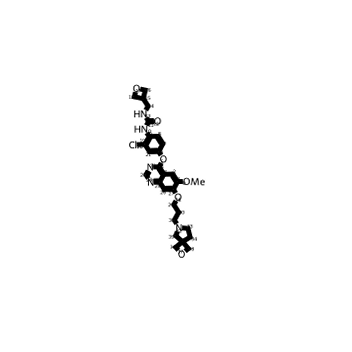 COc1cc2c(Oc3ccc(NC(=O)NCC4COC4)c(Cl)c3)ncnc2cc1OCCCN1CCC2(COC2)C1